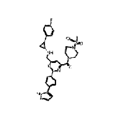 CS(=O)(=O)N1CCN(C(=O)c2cc(CN[C@@H]3C[C@H]3c3ccc(F)cc3)nc(-c3ccc(-c4ccn[nH]4)cc3)n2)CC1